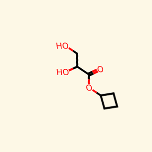 O=C(OC1CCC1)C(O)CO